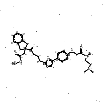 CCN(CCN(C)C)C(=O)COc1ccc(-c2csc(CCCC(=O)C3(CC(=O)OC(C)(C)C)Cc4ccccc4C3)n2)cc1